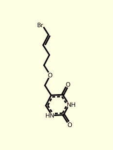 O=c1[nH]cc(COCCC=CBr)c(=O)[nH]1